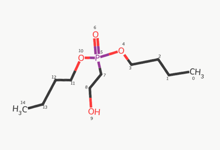 CCCCOP(=O)(CCO)OCCCC